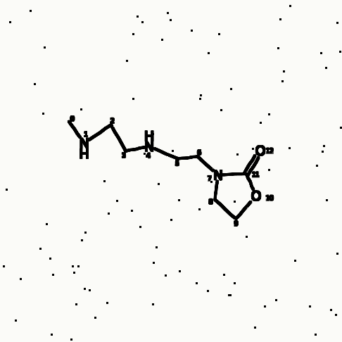 CNCCNCCN1CCOC1=O